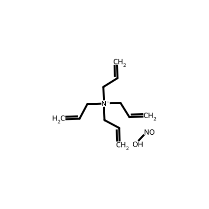 C=CC[N+](CC=C)(CC=C)CC=C.O=NO